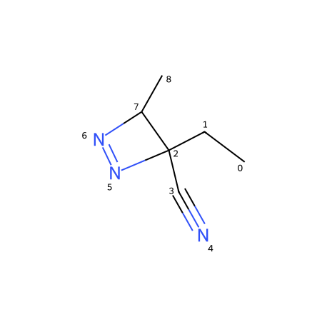 CCC1(C#N)N=NC1C